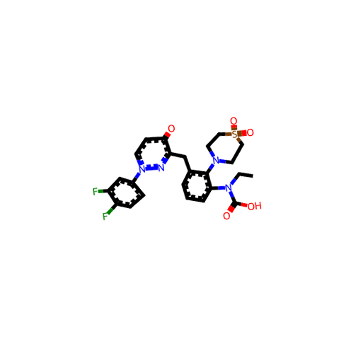 CCN(C(=O)O)c1cccc(Cc2nn(-c3ccc(F)c(F)c3)ccc2=O)c1N1CCS(=O)(=O)CC1